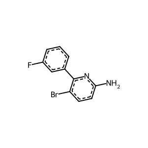 Nc1ccc(Br)c(-c2cccc(F)c2)n1